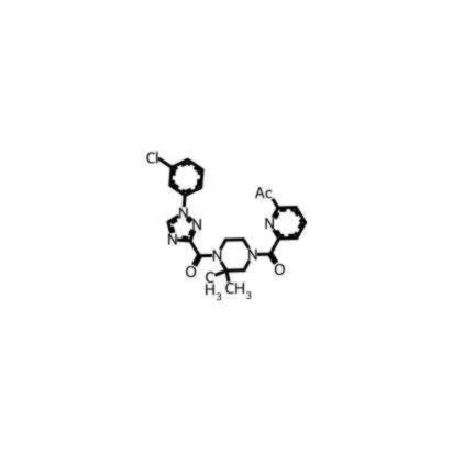 CC(=O)c1cccc(C(=O)N2CCN(C(=O)c3ncn(-c4cccc(Cl)c4)n3)C(C)(C)C2)n1